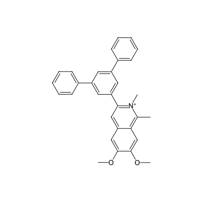 COc1cc2cc(-c3cc(-c4ccccc4)cc(-c4ccccc4)c3)[n+](C)c(C)c2cc1OC